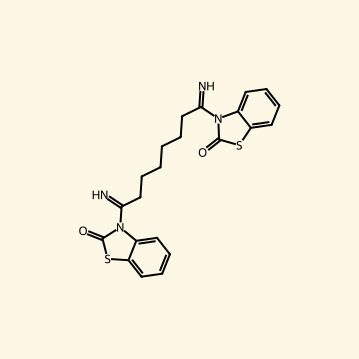 N=C(CCCCCCC(=N)n1c(=O)sc2ccccc21)n1c(=O)sc2ccccc21